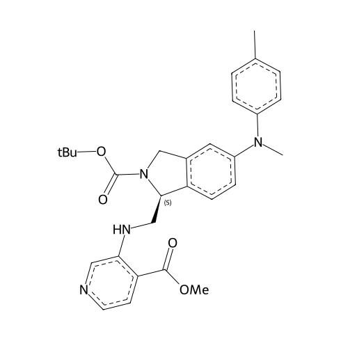 COC(=O)c1ccncc1NC[C@@H]1c2ccc(N(C)c3ccc(C)cc3)cc2CN1C(=O)OC(C)(C)C